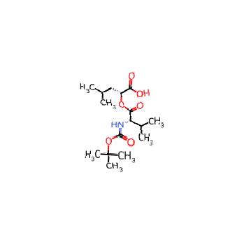 CC(C)C[C@@H](OC(=O)[C@@H](NC(=O)OC(C)(C)C)C(C)C)C(=O)O